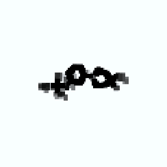 CC1(F)CCN([C@@H]2CCC[C@H](NC(C)(C)C)C2)CC1